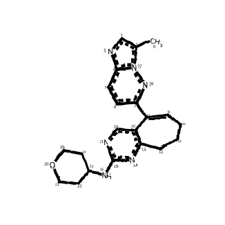 Cc1cnc2ccc(C3=CCCCc4nc(NC5CCOCC5)ncc43)nn12